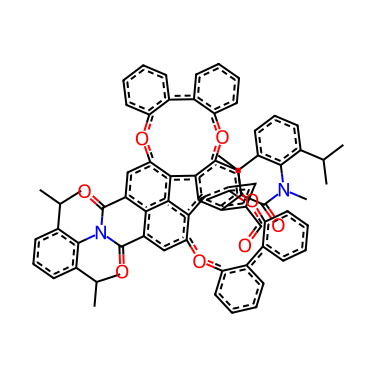 CC(C)c1cccc(C(C)C)c1N(C)C(=O)c1cc2oc3ccccc3c3ccccc3oc3cc4c5c(cc6oc7ccccc7c7ccccc7oc7cc(C=O)c1c1c7c6c5c3c21)C(=O)N(c1c(C(C)C)cccc1C(C)C)C4=O